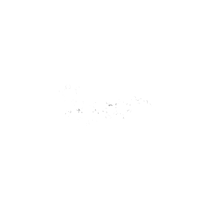 COc1ccc2sc(N3CCCN(C(=O)C4CCOCC4)CC3)nc2c1